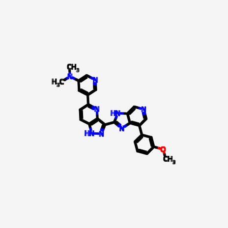 COc1cccc(-c2cncc3[nH]c(-c4n[nH]c5ccc(-c6cncc(N(C)C)c6)nc45)nc23)c1